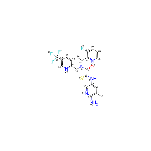 Cc1cc(NC(=S)C(=O)N(Cc2ccc(C(F)(F)F)cn2)C(C)c2ncccc2F)cnc1N